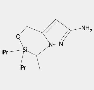 CC(C)[Si]1(C(C)C)OCc2cc(N)nn2C1C